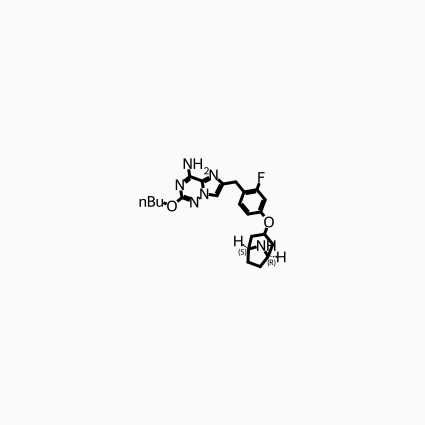 CCCCOc1nc(N)c2nc(Cc3ccc(OC4C[C@H]5CC[C@@H](C4)N5)cc3F)cn2n1